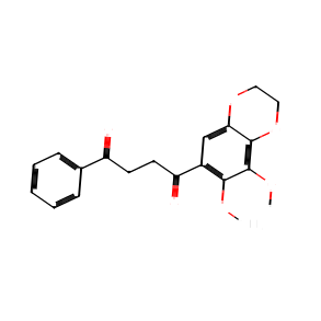 COc1c(C(=O)CCC(=O)c2ccccc2)cc2c(c1OC)OCCO2